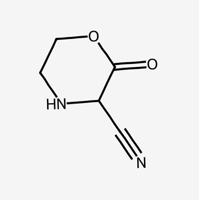 N#CC1NCCOC1=O